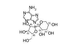 Nc1ncnc2c1ncn2[C@]1([C@H]2OC[C@H](O)[C@H](O)[C@@H]2O)O[C@H](CO)[C@@H](O)[C@H]1O